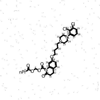 CCCC(=O)OCOC(=O)N1C(=O)CCc2ccc(OCCCCN3CCN(c4cccc(Cl)c4Cl)CC3)cc21